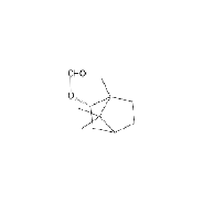 CC1(C)C2CCC1(C)[C@@H](OC=O)C2